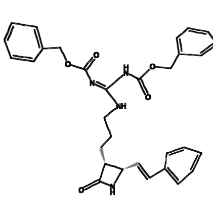 O=C(N=C(NCCC[C@H]1C(=O)N[C@H]1C=Cc1ccccc1)NC(=O)OCc1ccccc1)OCc1ccccc1